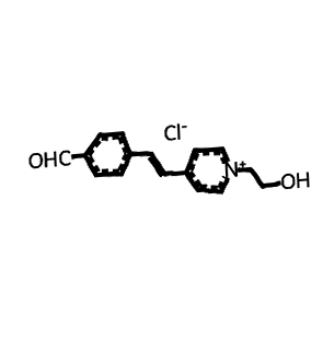 O=Cc1ccc(/C=C/c2cc[n+](CCO)cc2)cc1.[Cl-]